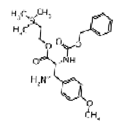 COc1ccc([C@H](N)[C@@H](NC(=O)OCc2ccccc2)C(=O)OCC[Si](C)(C)C)cc1